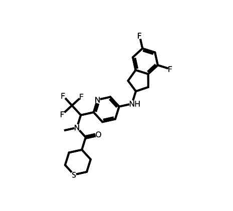 CN(C(=O)C1CCSCC1)C(c1ccc(NC2Cc3cc(F)cc(F)c3C2)cn1)C(F)(F)F